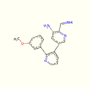 COc1cccc(-c2ncccc2-c2cnc(C=N)c(N)c2)c1